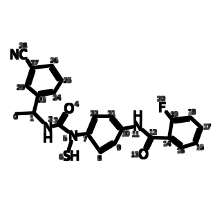 CC(NC(=O)N(S)c1ccc(NC(=O)c2ccccc2F)cc1)c1cccc(C#N)c1